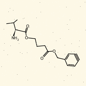 CC(C)[C@H](N)C(=O)OCCCC(=O)OCc1cc#ccc1